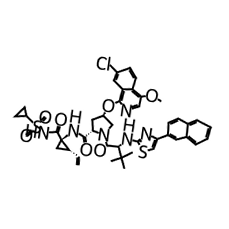 C=C[C@@H]1C[C@]1(NC(=O)[C@@H]1C[C@@H](Oc2ncc(OC)c3ccc(Cl)cc23)CN1C(=O)[C@@H](Nc1nc(-c2ccc3ccccc3c2)cs1)C(C)(C)C)C(=O)NS(=O)(=O)C1CC1